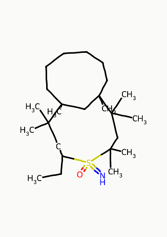 CCC1CC(C)(C)C2(C)CCCCCCC(C)(C2)C(C)(C)CC(C)(C)S1(=N)=O